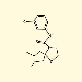 CCCC1(CCC)SCCN1C(=S)Nc1cccc(Cl)c1